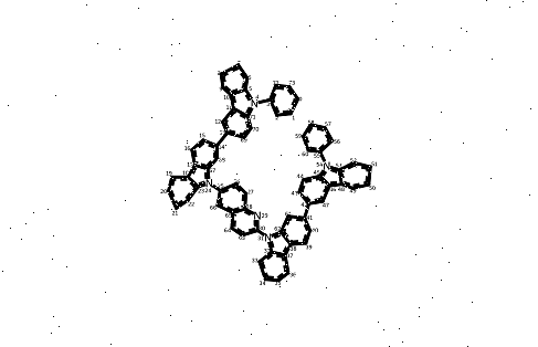 c1ccc(-n2c3ccccc3c3cc(-c4ccc5c6ccccc6n(-c6ccc7nc(-n8c9ccccc9c9ccc(-c%10ccc%11c(c%10)c%10ccccc%10n%11-c%10ccccc%10)cc98)ccc7c6)c5c4)ccc32)cc1